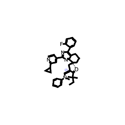 CCC(C)(C)C(=O)/C(=C\N(C)c1ccccc1)C[C@]1(C)CCCc2c(-c3ccccc3F)nc(-c3ccnc(C4CC4)c3)nc21